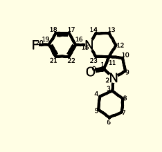 O=C1N(C2CCCCC2)CCC12CCCN(c1ccc(F)cc1)C2